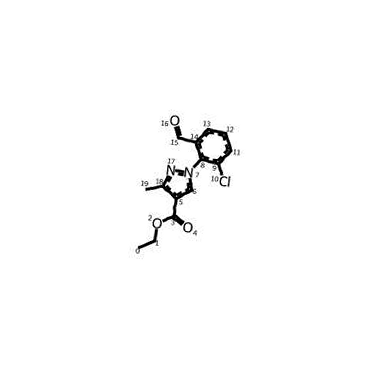 CCOC(=O)c1cn(-c2c(Cl)cccc2C=O)nc1C